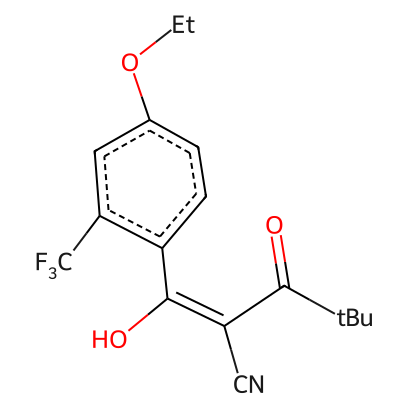 CCOc1ccc(C(O)=C(C#N)C(=O)C(C)(C)C)c(C(F)(F)F)c1